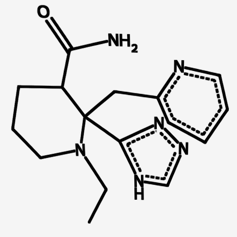 CCN1CCCC(C(N)=O)C1(Cc1ccccn1)c1nnc[nH]1